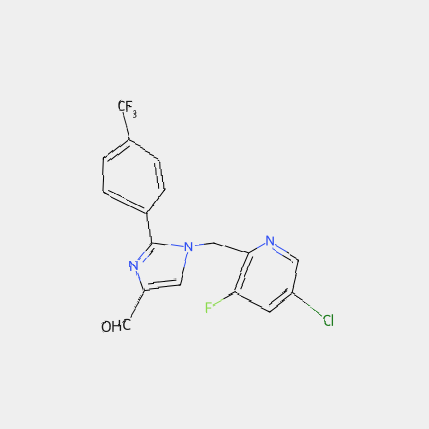 O=Cc1cn(Cc2ncc(Cl)cc2F)c(-c2ccc(C(F)(F)F)cc2)n1